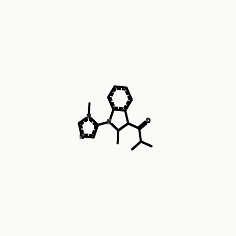 CC(C)C(=O)C1c2ccccc2N(c2cncn2C)C1C